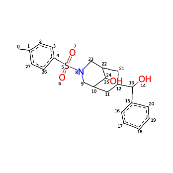 Cc1ccc(S(=O)(=O)N2CC3CC(C(O)c4ccccc4)CC(C2)C3O)cc1